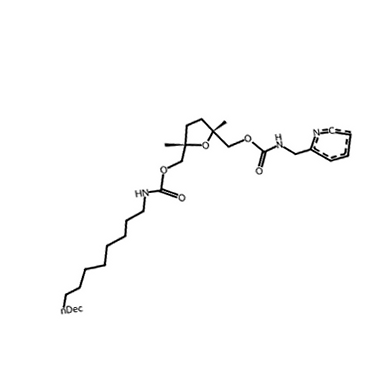 CCCCCCCCCCCCCCCCCCNC(=O)OC[C@]1(C)CC[C@](C)(COC(=O)NCc2ccccn2)O1